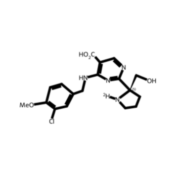 [2H]N1CCC[C@@]1(CO)c1ncc(C(=O)O)c(NCc2ccc(OC)c(Cl)c2)n1